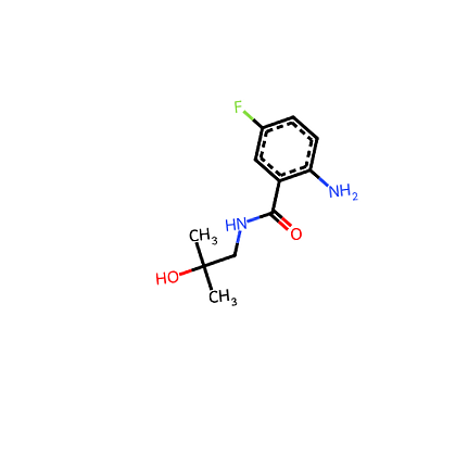 CC(C)(O)CNC(=O)c1cc(F)ccc1N